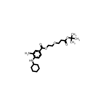 CC(C)(C)OC(=O)CCOCCOC(=O)c1ccc(NC2CCCCC2)c(N)c1